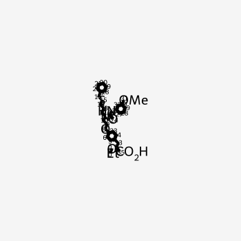 CCOC(Cc1ccc(OCCN(CCCSCc2ccccc2)C(=O)Nc2cccc(OC)c2)cc1)C(=O)O